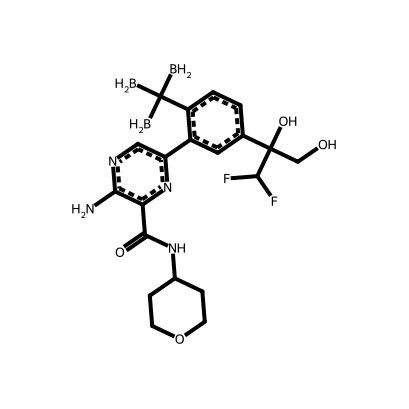 BC(B)(B)c1ccc(C(O)(CO)C(F)F)cc1-c1cnc(N)c(C(=O)NC2CCOCC2)n1